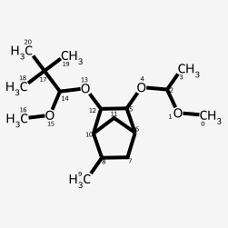 COC(C)OC1C2CC(C)C(C2)C1OC(OC)C(C)(C)C